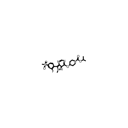 CC(C)OC(=O)N1CCC(Oc2ncnc3c(-c4ccc(S(C)(=O)=O)cc4F)n(C)nc23)CC1